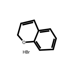 Br.C1=Cc2ccccc2OC1